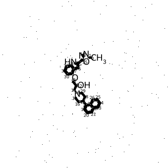 Cc1nnc(-c2cc3c(OCC(O)CN4CCC(c5cccc6ccccc56)CC4)cccc3[nH]2)o1